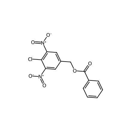 O=C(OCc1cc([N+](=O)[O-])c(Cl)c([N+](=O)[O-])c1)c1ccccc1